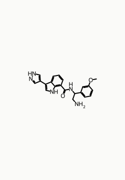 COc1cccc(C(CN)NC(=O)c2cccc3c(-c4cn[nH]c4)c[nH]c23)c1